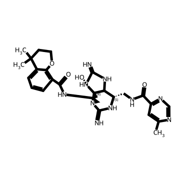 Cc1cc(C(=O)NC[C@@H]2NC(=N)N3CC(NC(=O)c4cccc5c4OCCC5(C)C)[C@@H](O)C34NC(=N)NC24)ncn1